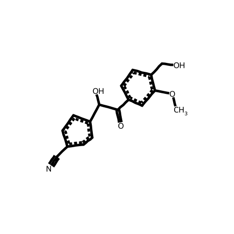 COc1cc(C(=O)C(O)c2ccc(C#N)cc2)ccc1CO